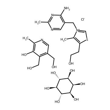 Cc1ncc(CO)c(CO)c1O.Cc1ncc(C[n+]2csc(CCO)c2C)c(N)n1.O[C@H]1[C@H](O)[C@@H](O)[C@H](O)[C@@H](O)[C@H]1O.[Cl-]